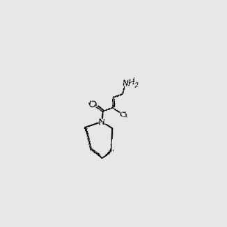 NCC=C(Cl)C(=O)N1C[CH]CCC1